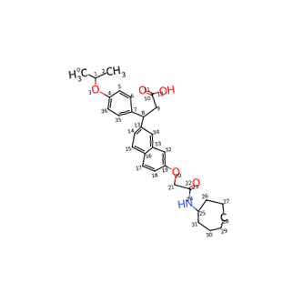 CC(C)Oc1ccc(C(CC(=O)O)c2ccc3ccc(OCC(=O)NC4CCCCCC4)cc3c2)cc1